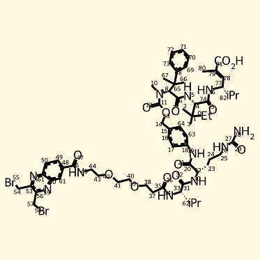 CCC(C)(C)[C@H](NC(=O)[C@@H](N(C)C(=O)OCc1ccc(NC(=O)[C@H](CCCNC(N)=O)NC(=O)[C@@H](NC(=O)CCOCCOCCNC(=O)c2ccc3nc(CBr)c(CBr)nc3c2)C(C)C)cc1)C(C)(C)c1ccccc1)C(=O)N[C@H](/C=C(\C)C(=O)O)C(C)C